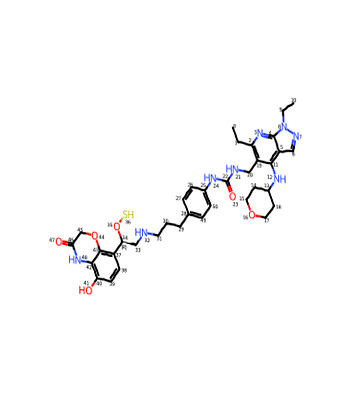 CCc1nc2c(cnn2CC)c(NC2CCOCC2)c1CNC(=O)Nc1ccc(CCCNC[C@H](OS)c2ccc(O)c3c2OCC(=O)N3)cc1